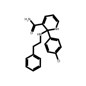 NC(=O)C1=CC=CNC1(NCCc1ccccc1)c1ccc(Cl)cc1